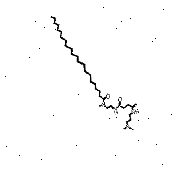 C=C(CCC(=O)NCCN(C)C(=O)CCCCCCCCCCCCCCCCCCCCC)NCCCN(C)C